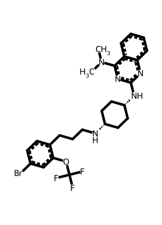 CN(C)c1nc(N[C@H]2CC[C@@H](NCCCc3ccc(Br)cc3OC(F)(F)F)CC2)nc2ccccc12